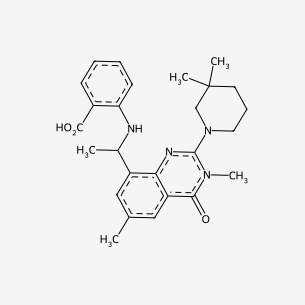 Cc1cc(C(C)Nc2ccccc2C(=O)O)c2nc(N3CCCC(C)(C)C3)n(C)c(=O)c2c1